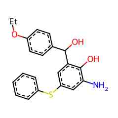 CCOc1ccc(C(O)c2cc(Sc3ccccc3)cc(N)c2O)cc1